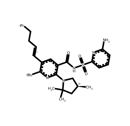 CC(C)CC/C=C/c1cc(C(=O)NS(=O)(=O)c2cccc(N)n2)c(N2C[C@@H](C)CC2(C)C)nc1C(C)(C)C